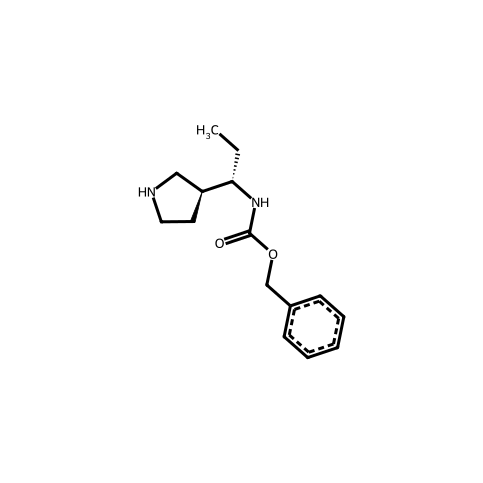 CC[C@H](NC(=O)OCc1ccccc1)[C@H]1CCNC1